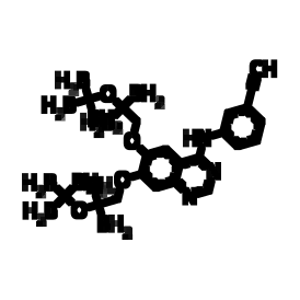 BC(B)(B)OC(B)(B)COc1cc2ncnc(Nc3cccc(C#C)c3)c2cc1OCC(B)(B)OC(B)(B)B